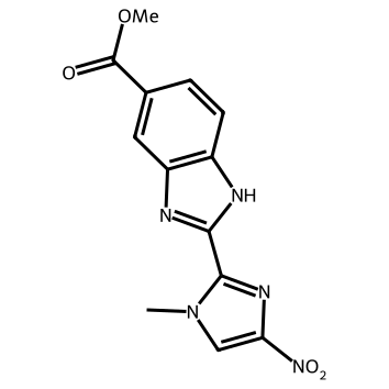 COC(=O)c1ccc2[nH]c(-c3nc([N+](=O)[O-])cn3C)nc2c1